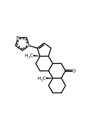 C[C@]12CCCCC1C(=O)CC1C2CC[C@]2(C)C(n3ccnc3)=CCC12